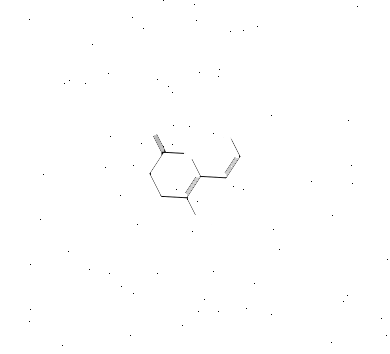 C/C=C\C1=C(C)CCC(=O)O1